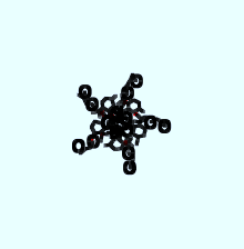 CC1CCC(C(C)C)C([Si]2(CCCOCC3CO3)O[Si](CCCOCC3CO3)(C3CC(C)CCC3C(C)C)O[Si](CCCOCC3CO3)(C3CC(C)CCC3C(C)C)O[Si](CCCOCC3CO3)(C3CC(C)CCC3C(C)C)O[Si](CCCOCC3CO3)(C3CC(C)CCC3C(C)C)O2)C1